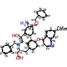 COc1ccc2c(Oc3ccc(C[C@@H](CO)N(Cc4ccccc4)C[C@@H](O)c4ccc(OCc5ccccc5)c(N)c4)cc3)ccnc2c1